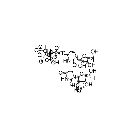 O=P([O-])([O-])OP(=O)(O)OP(=O)(O)OP(=O)(O)O.[2H]C(O)[C@H]1O[C@@H](n2ccc(=O)[nH]c2=O)[C@H](O)[C@@H]1O.[2H]C(O)[C@H]1O[C@@H](n2ccc(=O)[nH]c2=O)[C@H](O)[C@@H]1O.[Na+].[Na+]